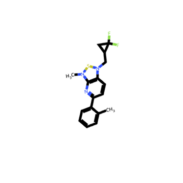 Cc1ccccc1-c1ccc2c(n1)N(C)SN2CC1CC1(F)F